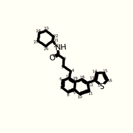 O=C(CCCc1cccc2ccc(-c3cccs3)cc12)NC1CCCCC1